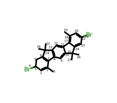 CC1=CC(Br)CC2=C1c1cc3c(cc1C2(C)C)-c1c(C)cc(Br)cc1C3(C)C